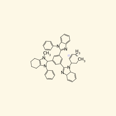 C/C=C\C(CC)N1C(c2cc(-c3nc4ccccc4n3-c3ccccc3)cc(C3N(C)C4=C(CCCC4)N3c3ccccc3)c2)=NC2C=CC=CC21